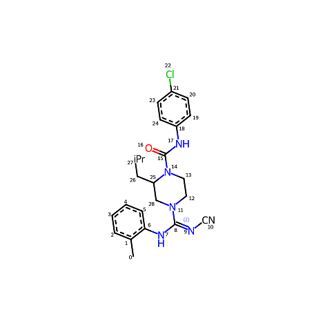 Cc1ccccc1N/C(=N/C#N)N1CCN(C(=O)Nc2ccc(Cl)cc2)C(CC(C)C)C1